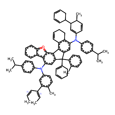 C/C=C\C(=C/C)c1cc(N(c2ccc(C(C)C)cc2)c2cc3c(c4oc5ccccc5c24)-c2c(cc(N(C4=CC(C5C=CC=CC5)C(C)C=C4)c4ccc(C(C)C)cc4)c4c2C=CCC4)C3(C2=CC=CCC2)c2ccccc2C)ccc1C